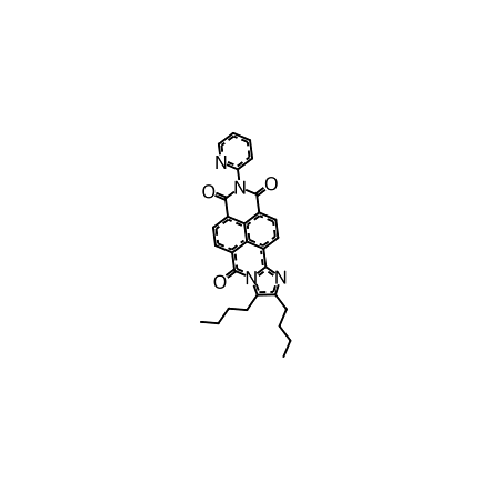 CCCCc1nc2c3ccc4c5c(ccc(c(=O)n2c1CCCC)c53)C(=O)N(c1ccccn1)C4=O